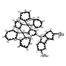 CC(C)(C)c1ccc2c(c1)c1cc(C(C)(C)C)ccc1n2-c1cc2c(s1)C1(c3ccccc3-c3ccccc31)c1ccsc1C21c2ccccc2-c2ccccc21